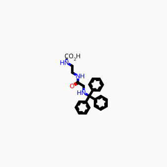 O=C(O)NCCNC(=O)CNC(c1ccccc1)(c1ccccc1)c1ccccc1